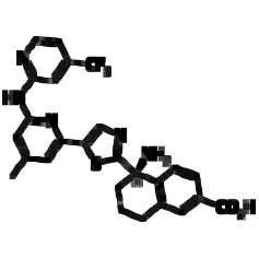 Cc1cc(Nc2cc(C(F)(F)F)ccn2)nc(-c2cnc([C@@]3(N)CCCc4cc(C(=O)O)ccc43)s2)c1